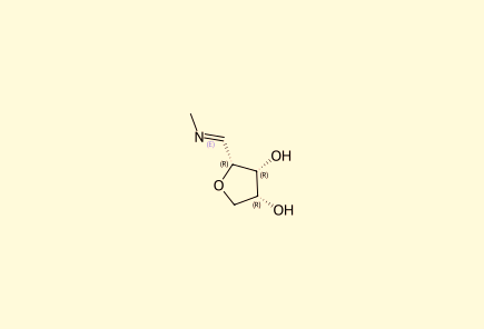 C/N=C/[C@H]1OC[C@@H](O)[C@H]1O